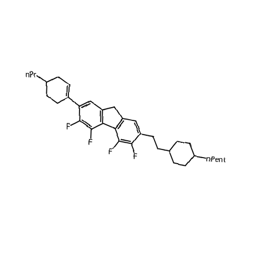 CCCCCC1CCC(CCc2cc3c(c(F)c2F)-c2c(cc(C4=CCC(CCC)CC4)c(F)c2F)C3)CC1